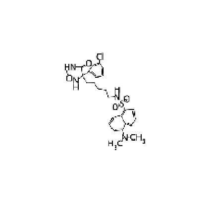 CN(C)c1cccc2c(S(=O)(=O)NCCCCCC3(c4cccc(Cl)c4)NOCNC3=O)cccc12